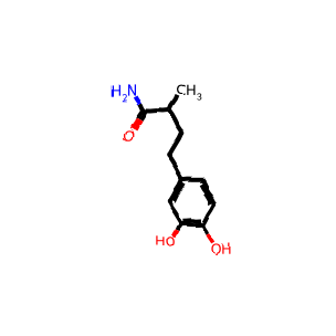 CC(CCc1ccc(O)c(O)c1)C(N)=O